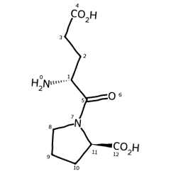 N[C@H](CCC(=O)O)C(=O)N1CCC[C@@H]1C(=O)O